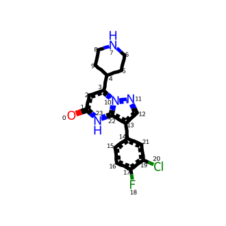 O=c1cc(C2CCNCC2)n2ncc(-c3ccc(F)c(Cl)c3)c2[nH]1